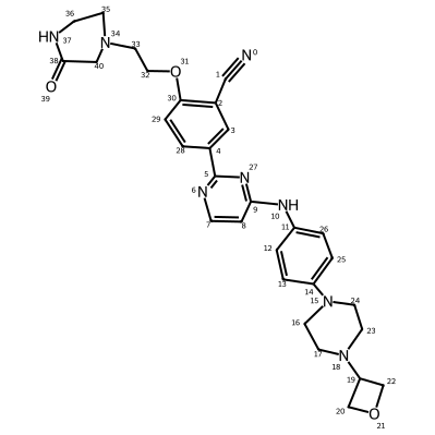 N#Cc1cc(-c2nccc(Nc3ccc(N4CCN(C5COC5)CC4)cc3)n2)ccc1OCCN1CCNC(=O)C1